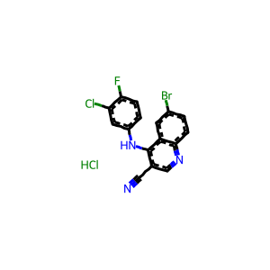 Cl.N#Cc1cnc2ccc(Br)cc2c1Nc1ccc(F)c(Cl)c1